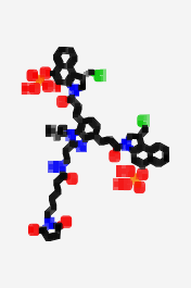 Cn1c(CCNC(=O)CCCCCN2C(=O)C=CC2=O)nc2c(/C=C/C(=O)N3C[C@@H](CCl)c4c3cc(OP(=O)(O)O)c3ccccc43)ccc(/C=C/C(=O)N3C[C@@H](CCl)c4c3cc(OP(=O)(O)O)c3ccccc43)c21